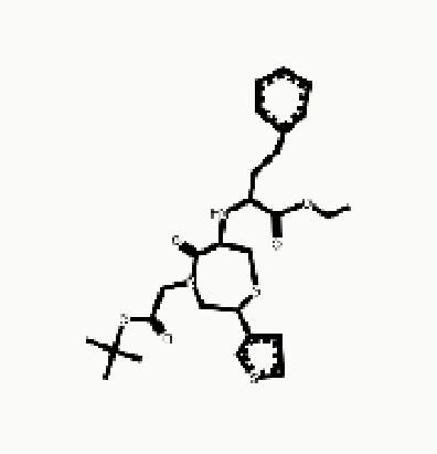 CCOC(=O)C(CCc1ccccc1)NC1CSC(c2ccsc2)CN(CC(=O)OC(C)(C)C)C1=O